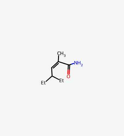 CCC(C=C(C)C(N)=O)CC